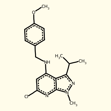 COc1ccc(CNc2cc(Cl)nc3c2c(C(C)C)nn3C)cc1